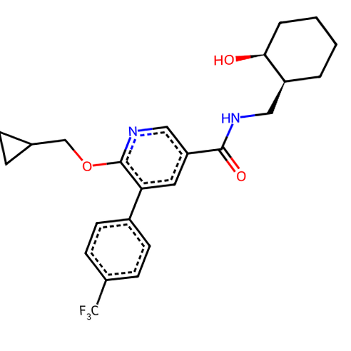 O=C(NC[C@@H]1CCCC[C@@H]1O)c1cnc(OCC2CC2)c(-c2ccc(C(F)(F)F)cc2)c1